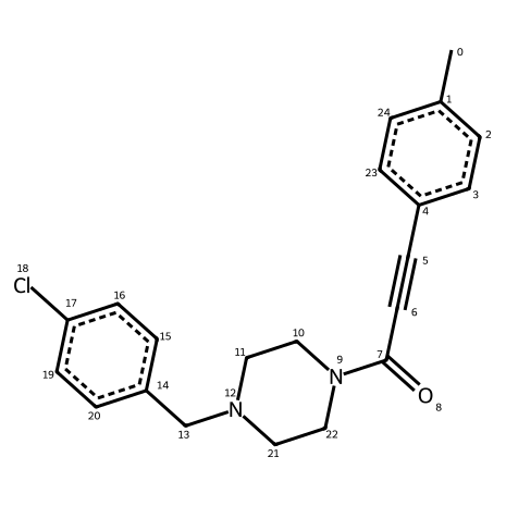 Cc1ccc(C#CC(=O)N2CCN(Cc3ccc(Cl)cc3)CC2)cc1